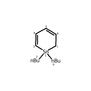 CCC[CH2][Sn]1([CH2]CCC)[CH]=CC=C[CH2]1